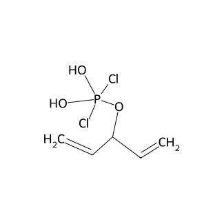 C=CC(C=C)OP(O)(O)(Cl)Cl